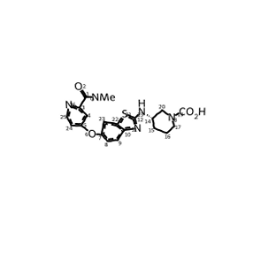 CNC(=O)c1cc(Oc2ccc3nc(N[C@H]4CCCN(C(=O)O)C4)sc3c2)ccn1